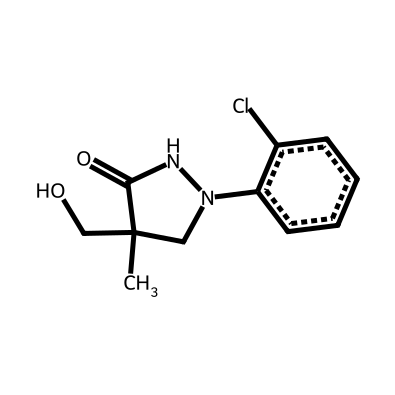 CC1(CO)CN(c2ccccc2Cl)NC1=O